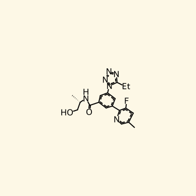 CCc1nnnn1-c1cc(C(=O)N[C@@H](C)CO)cc(-c2ncc(C)cc2F)c1